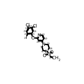 C=CS(=O)(=O)N1CCN(c2ccnc(Oc3cc(Cl)c(Cl)cc3I)c2)CC1